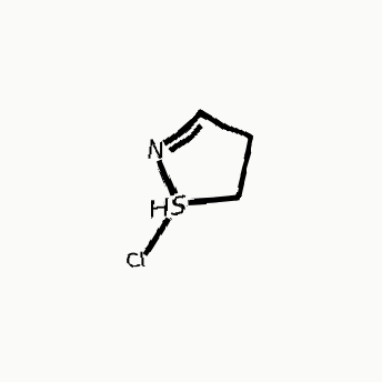 Cl[SH]1CCC=N1